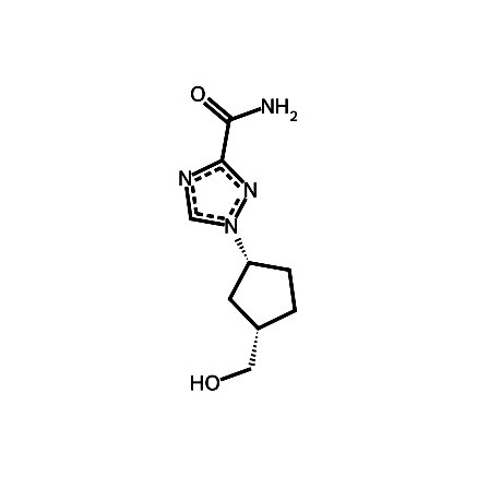 NC(=O)c1ncn([C@@H]2CC[C@H](CO)C2)n1